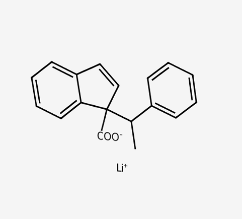 CC(c1ccccc1)C1(C(=O)[O-])C=Cc2ccccc21.[Li+]